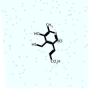 Cc1ncc(C=CC(=O)O)c(CS)c1O.Cl